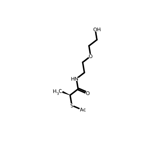 CC(=O)S[C@@H](C)C(=O)NCCOCCO